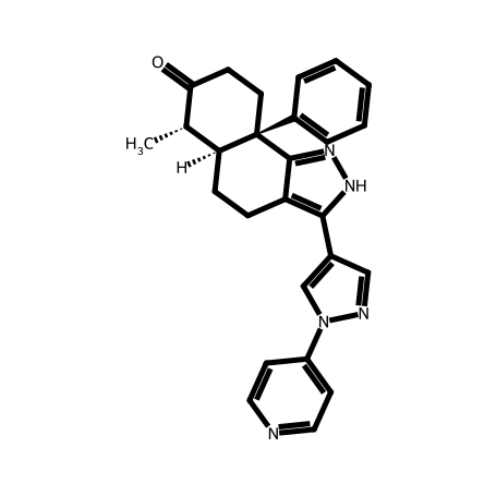 C[C@@H]1C(=O)CC[C@]2(c3ccccc3)c3n[nH]c(-c4cnn(-c5ccncc5)c4)c3CC[C@@H]12